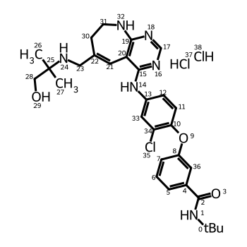 CC(C)(C)NC(=O)c1cccc(Oc2ccc(Nc3ncnc4c3C=C(CNC(C)(C)CO)CCN4)cc2Cl)c1.Cl.Cl